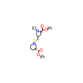 CCN1CC(CSN2CCC[C@@H](C(=O)OC(C)C)C2)C[C@@H]1C(=O)OC(C)C